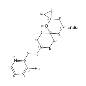 CCCCN1CC2(CCN(CCc3ncccc3F)CC2)OC2(CC2)C1